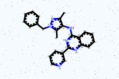 Cc1nn(Cc2ccccc2)c(C)c1Nc1nc(-c2cccnc2)nc2ccccc12